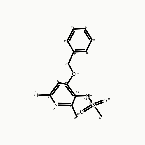 Cc1nc(Cl)cc(OCc2ccccc2)c1NS(C)(=O)=O